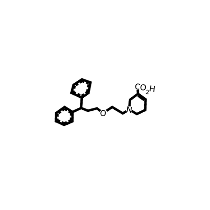 O=C(O)C1=CCCN(CCOCCC(c2ccccc2)c2ccccc2)C1